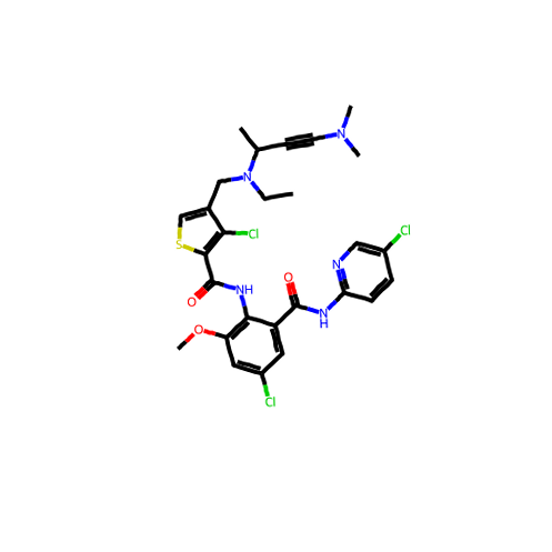 CCN(Cc1csc(C(=O)Nc2c(OC)cc(Cl)cc2C(=O)Nc2ccc(Cl)cn2)c1Cl)C(C)C#CN(C)C